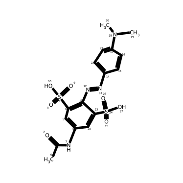 CC(=O)Nc1cc(S(=O)(=O)O)c(/N=N/c2ccc(N(C)C)cc2)c(S(=O)(=O)O)c1